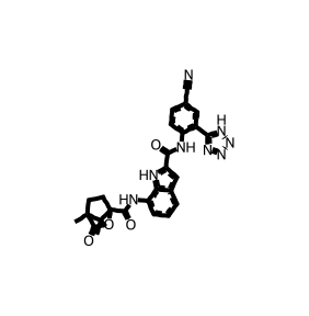 CC12CCC(C(=O)Nc3cccc4cc(C(=O)Nc5ccc(C#N)cc5-c5nnn[nH]5)[nH]c34)(OC1=O)C2(C)C